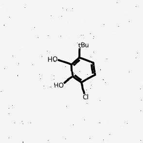 CC(C)(C)c1ccc(Cl)c(O)c1O